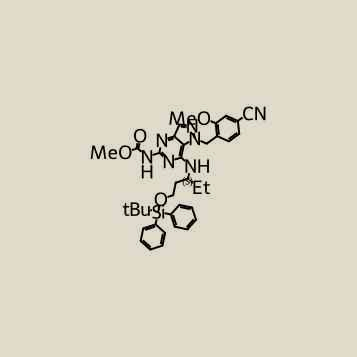 CC[C@@H](CCO[Si](c1ccccc1)(c1ccccc1)C(C)(C)C)Nc1nc(NC(=O)OC)nc2cnn(Cc3ccc(C#N)cc3OC)c12